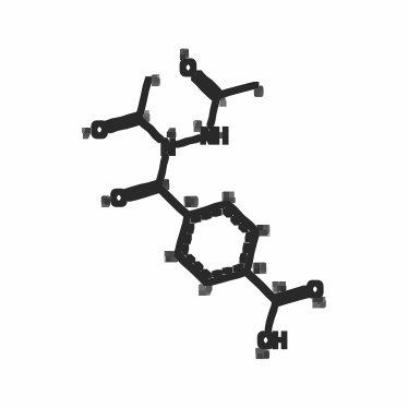 CC(=O)NN(C(C)=O)C(=O)c1ccc(C(=O)O)cc1